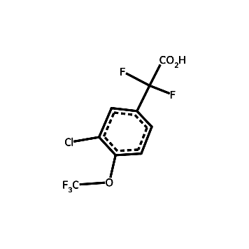 O=C(O)C(F)(F)c1ccc(OC(F)(F)F)c(Cl)c1